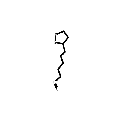 O=PCCCCCC1CCSS1